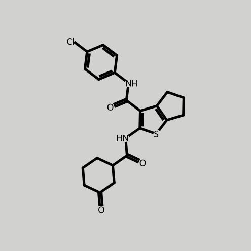 O=C1CCCC(C(=O)Nc2sc3c(c2C(=O)Nc2ccc(Cl)cc2)CCC3)C1